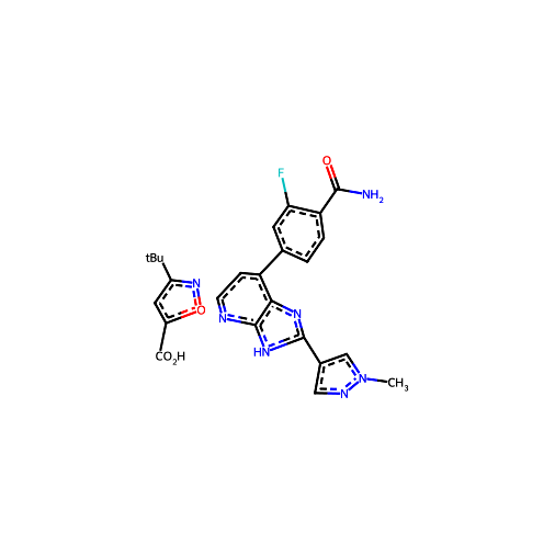 CC(C)(C)c1cc(C(=O)O)on1.Cn1cc(-c2nc3c(-c4ccc(C(N)=O)c(F)c4)ccnc3[nH]2)cn1